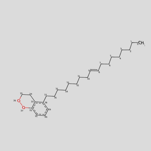 CCCCCCCCC=CCCCCCCCCc1cccc2c1CCOO2